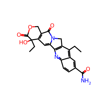 CCc1c2c(nc3ccc(C(N)=O)cc13)-c1cc3c(c(=O)n1C2)COC(=O)C3(O)CC